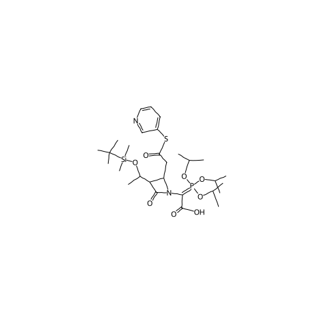 CC(C)OP(OC(C)C)(OC(C)C)=C(C(=O)O)N1C(=O)C(C(C)O[Si](C)(C)C(C)(C)C)C1CC(=O)Sc1cccnc1